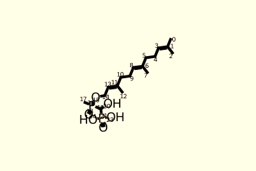 CC(C)=CCC/C(C)=C/CC/C(C)=C/COP(C)(=O)C(O)P(=O)(O)O